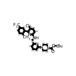 Cc1ccc(C(F)(F)F)cc1-c1nc(NSc2cccc(N3CCN(C(=O)OC(C)(C)C)CC3)n2)ccc1Cl